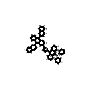 c1ccc(N(c2ccccc2)c2c3ccccc3c(-c3ccc(-c4ccc5c(-c6ccc7ccccc7c6)c6ccccc6c(-c6ccc7ccccc7c6)c5c4)s3)c3ccccc23)cc1